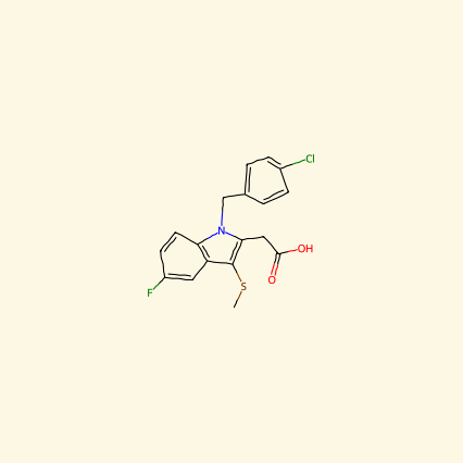 CSc1c(CC(=O)O)n(Cc2ccc(Cl)cc2)c2ccc(F)cc12